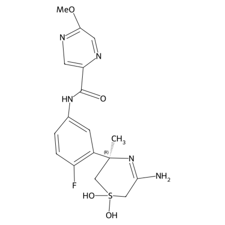 COc1cnc(C(=O)Nc2ccc(F)c([C@]3(C)CS(O)(O)CC(N)=N3)c2)cn1